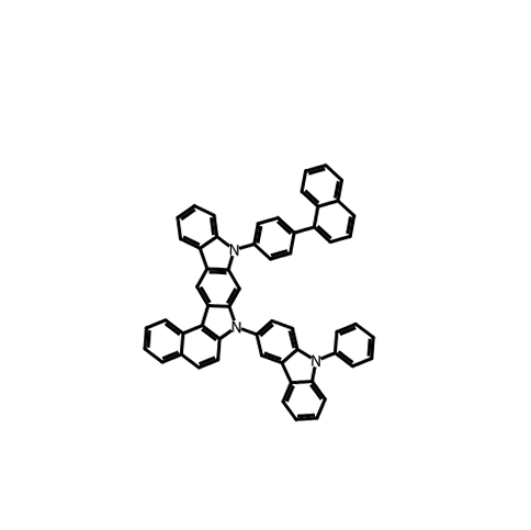 c1ccc(-n2c3ccccc3c3cc(-n4c5cc6c(cc5c5c7ccccc7ccc54)c4ccccc4n6-c4ccc(-c5cccc6ccccc56)cc4)ccc32)cc1